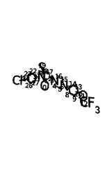 O=C1C(N2CCN(c3ccc(OC(F)(F)F)cc3)CC2)CC(=S)N1c1ccc(Cl)cc1